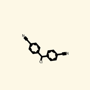 N#Cc1ccc(C(Cl)c2ccc(C#N)cc2)cc1